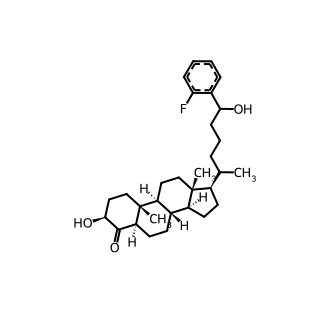 CC(CCCC(O)c1ccccc1F)[C@H]1CC[C@H]2[C@@H]3CC[C@H]4C(=O)[C@@H](O)CC[C@]4(C)[C@H]3CC[C@]12C